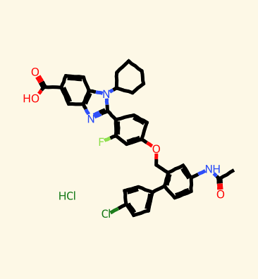 CC(=O)Nc1ccc(-c2ccc(Cl)cc2)c(COc2ccc(-c3nc4cc(C(=O)O)ccc4n3C3CCCCC3)c(F)c2)c1.Cl